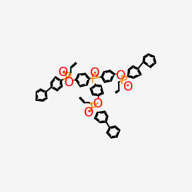 C=CCP(=O)(Oc1ccc(P(=O)(c2ccc(OP(=O)(CC=C)c3ccc(-c4ccccc4)cc3)cc2)c2ccc(OP(=O)(CC=C)c3ccc(-c4ccccc4)cc3)cc2)cc1)c1ccc(-c2ccccc2)cc1